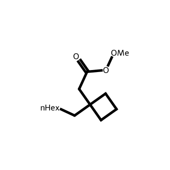 CCCCCCCC1(CC(=O)OOC)CCC1